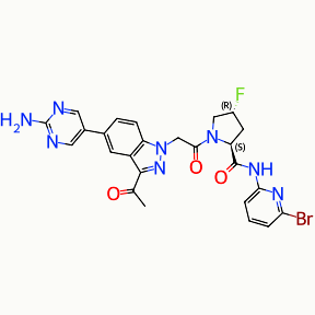 CC(=O)c1nn(CC(=O)N2C[C@H](F)C[C@H]2C(=O)Nc2cccc(Br)n2)c2ccc(-c3cnc(N)nc3)cc12